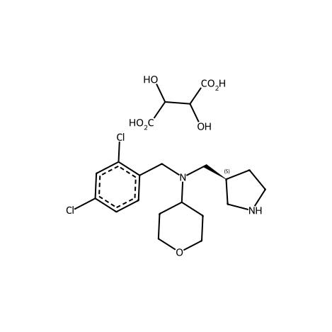 Clc1ccc(CN(C[C@H]2CCNC2)C2CCOCC2)c(Cl)c1.O=C(O)C(O)C(O)C(=O)O